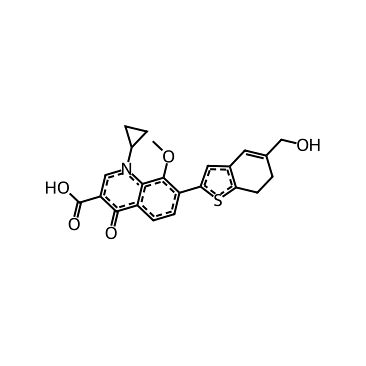 COc1c(-c2cc3c(s2)CCC(CO)=C3)ccc2c(=O)c(C(=O)O)cn(C3CC3)c12